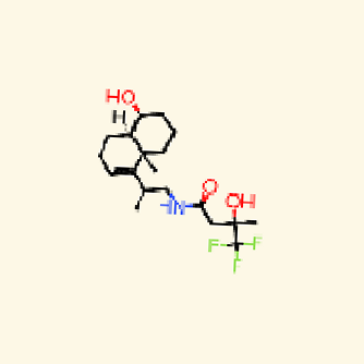 C[C@H](CNC(=O)C[C@](C)(O)C(F)(F)F)C1=CCC[C@H]2[C@@H](O)CCC[C@]12C